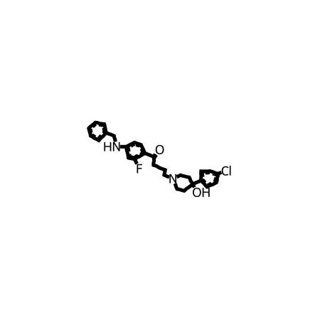 O=C(CCCN1CCC(O)(c2ccc(Cl)cc2)CC1)c1ccc(NCc2ccccc2)cc1F